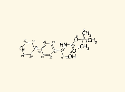 CC(C)(C)OC(=O)NC(CO)c1ccc(C2CCOCC2)cc1